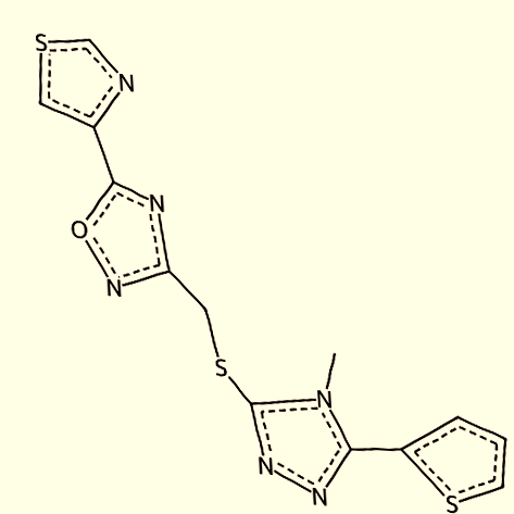 Cn1c(SCc2noc(-c3cscn3)n2)nnc1-c1cccs1